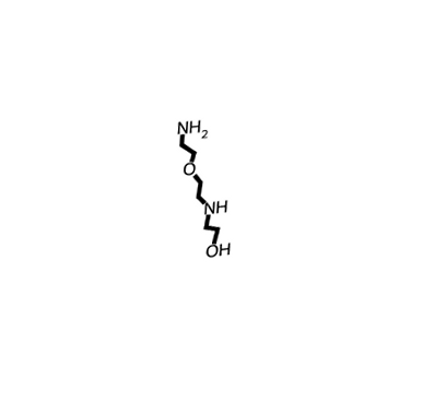 NCCOCCNCCO